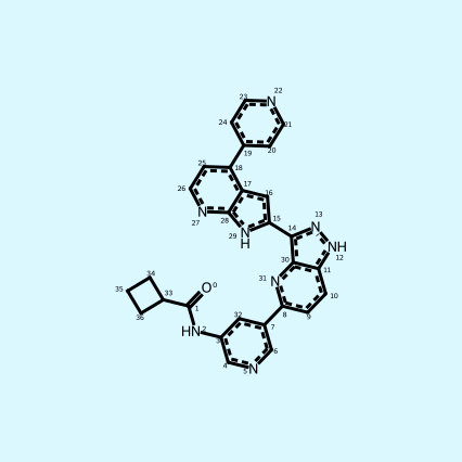 O=C(Nc1cncc(-c2ccc3[nH]nc(-c4cc5c(-c6ccncc6)ccnc5[nH]4)c3n2)c1)C1CCC1